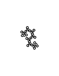 c1ccc(N(c2ccc(N(c3ccccc3)c3ccc(N(c4ccccc4)c4ccc(N(c5ccccc5)c5c6ccccc6cc6ccccc56)cc4)cc3)cc2)c2ccc(N(c3ccccc3)c3ccc(N(c4ccccc4)c4ccc(N(c5ccccc5)c5c6ccccc6cc6ccccc56)cc4)cc3)cc2)cc1